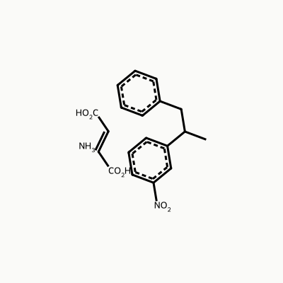 CC(Cc1ccccc1)c1cccc([N+](=O)[O-])c1.N.O=C(O)C=CC(=O)O